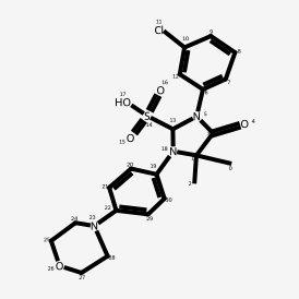 CC1(C)C(=O)N(c2cccc(Cl)c2)C(S(=O)(=O)O)N1c1ccc(N2CCOCC2)cc1